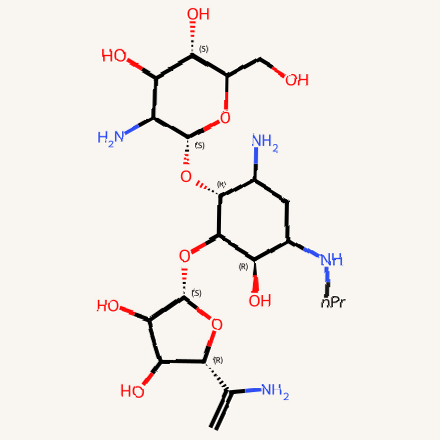 C=C(N)[C@H]1O[C@@H](OC2[C@H](O)C(NCCC)CC(N)[C@H]2O[C@H]2OC(CO)[C@@H](O)C(O)C2N)C(O)C1O